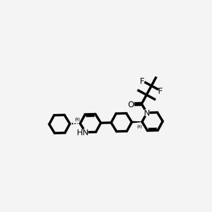 CC(F)(F)C(C)(C)C(=O)N1CCC=C[C@H]1C1CCC(C2C=C[C@@H](C3CCCCC3)NC2)CC1